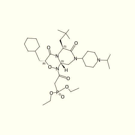 CCOP(=O)(CC(=O)N1O[C@H](CC2CCCCC2)C(=O)N2[C@@H]1CN(C1CCN(C(C)C)CC1)C(=O)[C@@H]2CC(C)(C)C)OCC